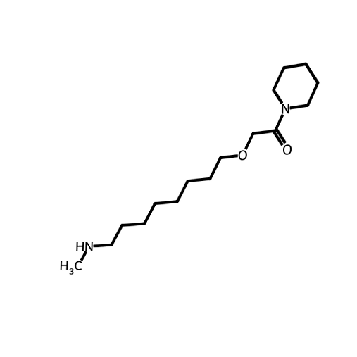 CNCCCCCCCCOCC(=O)N1CCCCC1